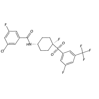 O=C(N[C@H]1CC[C@](F)(S(=O)(=O)c2cc(F)cc(C(F)(F)F)c2)CC1)c1cc(F)cc(Cl)c1